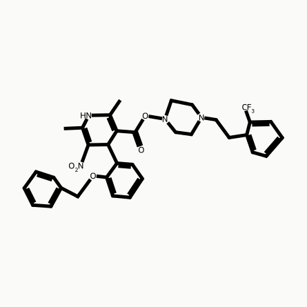 CC1=C(C(=O)ON2CCN(CCc3ccccc3C(F)(F)F)CC2)C(c2ccccc2OCc2ccccc2)C([N+](=O)[O-])=C(C)N1